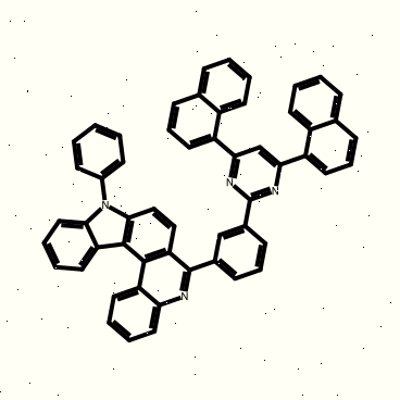 c1ccc(-n2c3ccccc3c3c4c(ccc32)c(-c2cccc(-c3nc(-c5cccc6ccccc56)cc(-c5cccc6ccccc56)n3)c2)nc2ccccc24)cc1